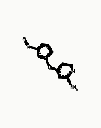 Nc1cc(Oc2cccc(N=O)c2)ccn1